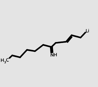 [Li][CH2]C=CCC(=N)CCCCCC